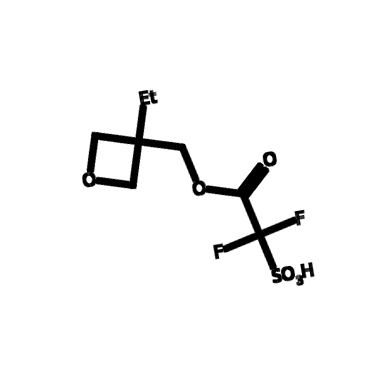 CCC1(COC(=O)C(F)(F)S(=O)(=O)O)COC1